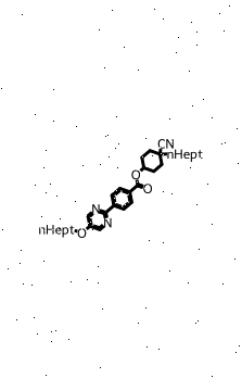 CCCCCCCOc1cnc(-c2ccc(C(=O)OC3CCC(C#N)(CCCCCCC)CC3)cc2)nc1